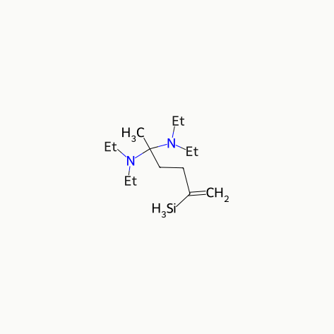 C=C([SiH3])CCC(C)(N(CC)CC)N(CC)CC